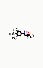 COc1c(C)cc(C2=NOC(C)(C)C2)cc1C